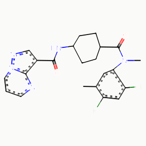 Cc1cc(N(C)C(=O)C2CCC(NC(=O)c3cnn4cccnc34)CC2)c(Cl)cc1F